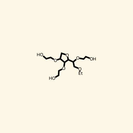 [CH2]COCC(OCCO)C1OCC(OCCO)C1OCCO